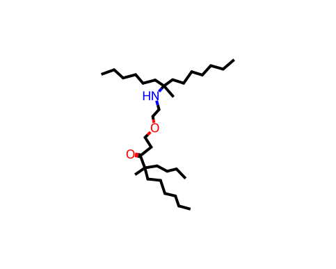 CCCCCCCC(C)(CCCCCC)NCCOCCC(=O)C(C)(CCCC)CCCCCC